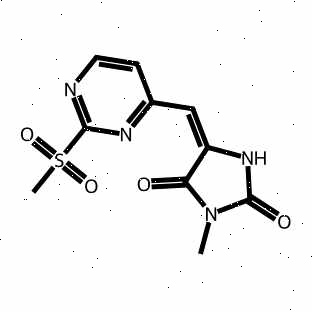 CN1C(=O)NC(=Cc2ccnc(S(C)(=O)=O)n2)C1=O